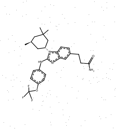 C[C@@H]1C[C@@H](n2c(Nc3ccc(OC(F)(F)F)cc3)nc3cc(CCC(N)=O)ccc32)CC(C)(C)C1